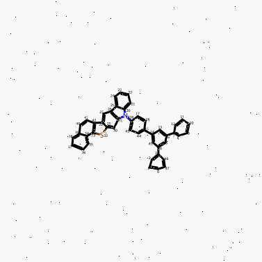 c1ccc(-c2cc(-c3ccccc3)cc(-c3ccc(-n4c5ccccc5c5cc6c(cc54)sc4c5ccccc5ccc64)cc3)c2)cc1